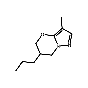 CCCC1COc2c(C)cnn2C1